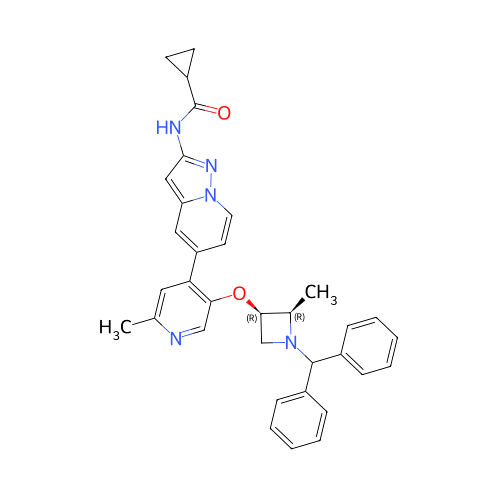 Cc1cc(-c2ccn3nc(NC(=O)C4CC4)cc3c2)c(O[C@@H]2CN(C(c3ccccc3)c3ccccc3)[C@@H]2C)cn1